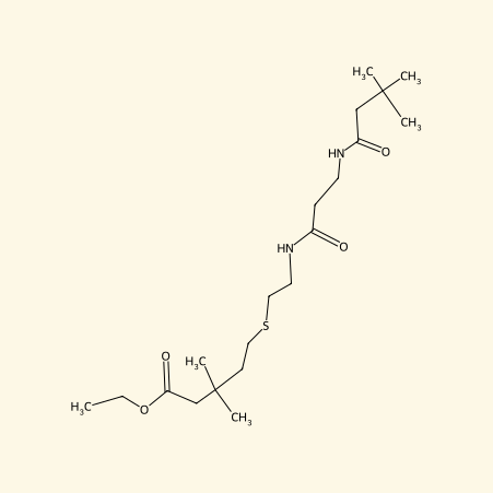 CCOC(=O)CC(C)(C)CCSCCNC(=O)CCNC(=O)CC(C)(C)C